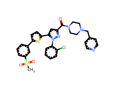 CS(=O)(=O)c1cccc(-c2ccc(-c3cc(C(=O)N4CCN(Cc5ccncc5)CC4)nn3-c3ccccc3Cl)s2)c1